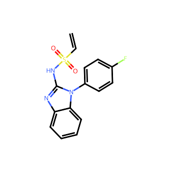 C=CS(=O)(=O)Nc1nc2ccccc2n1-c1ccc(F)cc1